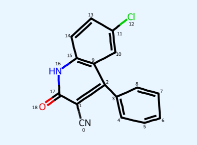 N#Cc1c(-c2ccccc2)c2cc(Cl)ccc2[nH]c1=O